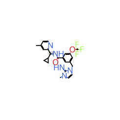 Cc1ccnc([C@@H](NC(=O)c2cc(Cn3ccn(C)c3=N)cc(OC(F)(F)F)c2)C2CC2)c1